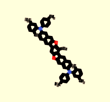 Cc1ccc(N(c2ccc3cc4c(cc3c2)oc2c(C(C)(C)C)c3c(cc24)oc2cc4cc(N(c5ccc(C)cc5)c5cc(C)ccc5C)ccc4cc23)c2cc(C)ccc2C)cc1